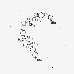 CC(C)(CCC(C)(C)N1CCC2(CCN(C(C)(C)C)CC2)CC1)C1CCN(C[C@@H]2CCN(C(C)(C)CCC(C)(C)C3CCN(C[C@@H]4CCN(C(C)(C)C)C4)CC3)C2)CC1